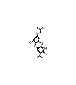 CC(C)c1cc(Oc2c(Cl)cc(NCC(=O)O)cc2Cl)n[nH]c1=O